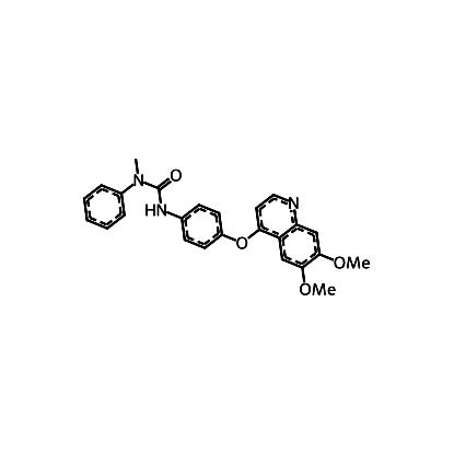 COc1cc2nccc(Oc3ccc(NC(=O)N(C)c4ccccc4)cc3)c2cc1OC